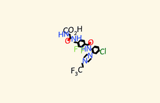 O=C(O)NCC(=O)NCc1ccc(C(=O)Nc2ccc(Cl)cc2N2CCN(CCC(F)(F)F)CC2)c(F)c1F